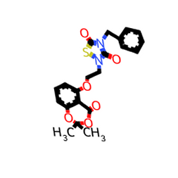 CC1(C)OC(=O)c2c(OCCn3sc(=O)n(Cc4ccccc4)c3=O)cccc2O1